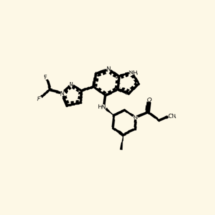 C[C@H]1C[C@@H](Nc2c(-c3ccn(C(F)F)n3)cnc3[nH]ccc23)CN(C(=O)CC#N)C1